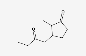 CCC(=O)CC1CCC(=O)C1C